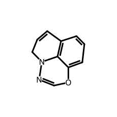 C1=Cc2cccc3c2N(C1)N=CO3